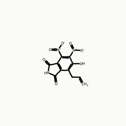 C=CCc1c(O)c([N+](=O)[O-])c([N+](=O)[O-])c2c1C(=O)NC2=O